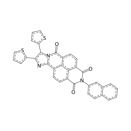 O=C1c2ccc3c(=O)n4c(-c5cccs5)c(-c5cccs5)nc4c4ccc(c2c34)C(=O)N1c1ccc2ccccc2c1